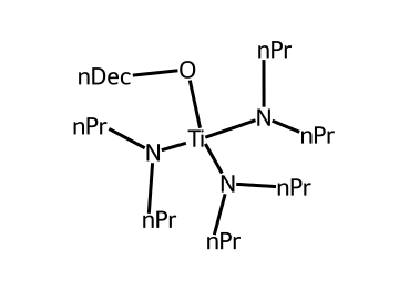 CCCCCCCCCC[O][Ti]([N](CCC)CCC)([N](CCC)CCC)[N](CCC)CCC